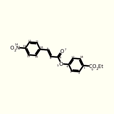 CCOC(=O)c1ccc(OC(=O)/C=C/c2ccc([N+](=O)[O-])cc2)cc1